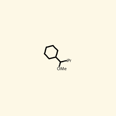 COC(C(C)C)C1CCCCC1